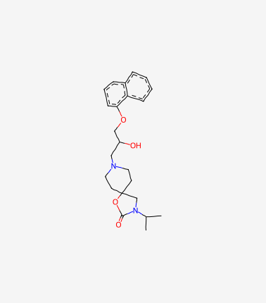 CC(C)N1CC2(CCN(CC(O)COc3cccc4ccccc34)CC2)OC1=O